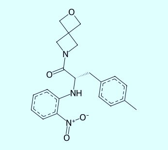 Cc1ccc(C[C@H](Nc2ccccc2[N+](=O)[O-])C(=O)N2CC3(COC3)C2)cc1